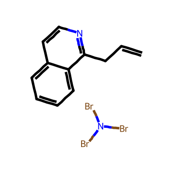 BrN(Br)Br.C=CCc1nccc2ccccc12